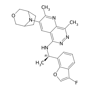 Cc1nc2c(C)nnc(N[C@H](C)c3cccc4c(F)coc34)c2cc1N1C2CCC1COC2